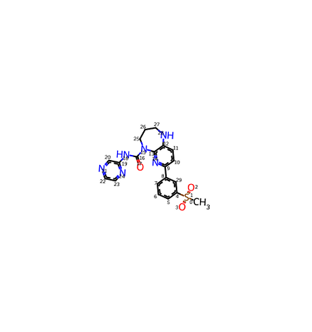 CS(=O)(=O)c1cccc(-c2ccc3c(n2)N(C(=O)Nc2cnccn2)CCCN3)c1